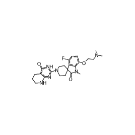 CN(C)CCOc1ccc(F)c2c1N(C)C(=O)C21CCN(c2nc3c(c(=O)[nH]2)CCCN3)CC1